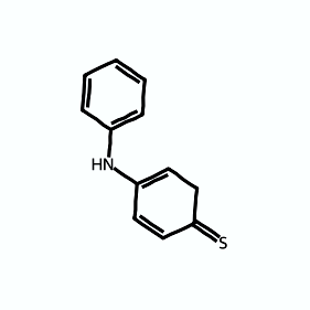 S=C1C=CC(Nc2ccccc2)=CC1